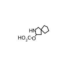 O=C(O)OC1CC2(CCCC2)CN1